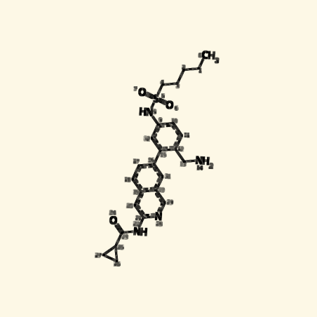 CCCCCS(=O)(=O)Nc1ccc(CN)c(-c2ccc3cc(NC(=O)C4CC4)ncc3c2)c1